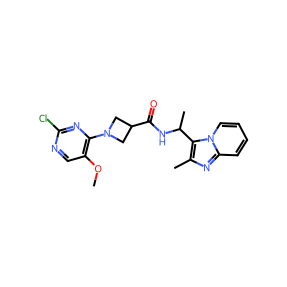 COc1cnc(Cl)nc1N1CC(C(=O)NC(C)c2c(C)nc3ccccn23)C1